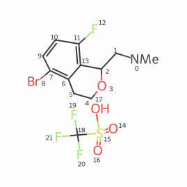 CNCC1OCCc2c(Br)ccc(F)c21.O=S(=O)(O)C(F)(F)F